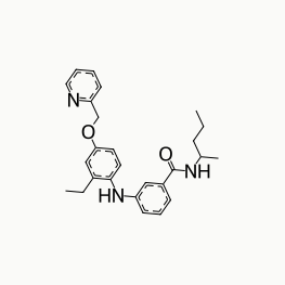 CCCC(C)NC(=O)c1cccc(Nc2ccc(OCc3ccccn3)cc2CC)c1